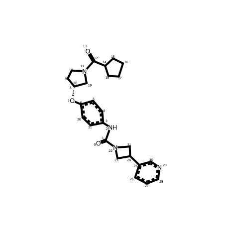 O=C(Nc1ccc(O[C@@H]2CCN(C(=O)C3CCCC3)C2)cc1)N1CC(c2cccnc2)C1